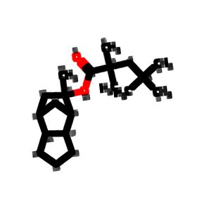 CC(C)(C)CC(C)(C)C(=O)OC1(C)CC2CC1C1CCCC21